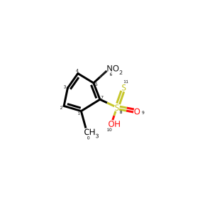 Cc1cccc([N+](=O)[O-])c1S(=O)(O)=S